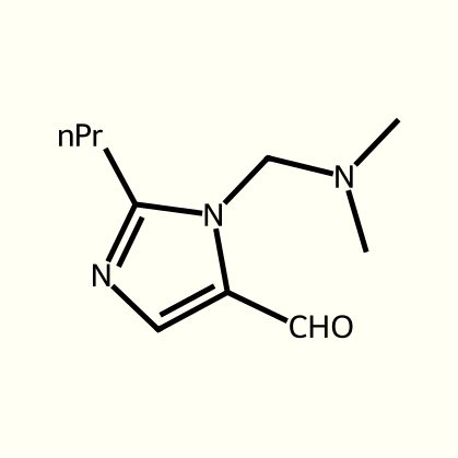 CCCc1ncc(C=O)n1CN(C)C